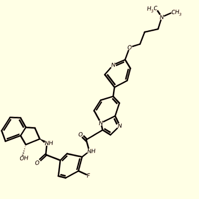 CN(C)CCCOc1ccc(-c2ccn3c(C(=O)Nc4cc(C(=O)N[C@@H]5Cc6ccccc6[C@H]5O)ccc4F)cnc3c2)cn1